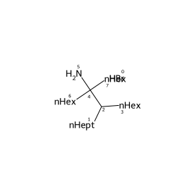 Br.CCCCCCCC(CCCCCC)C(N)(CCCCCC)CCCCCC